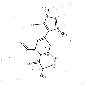 Cc1nn(C)c(Cl)c1C1=CC(C=O)C(C(=O)C(C)C)C(O)C1